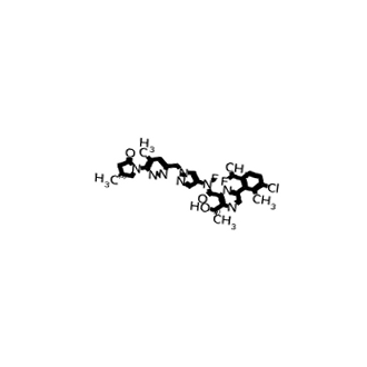 Cc1cc(Cn2cc(N(F)C(=O)c3nc(-c4c(C(C)F)ccc(Cl)c4C)cnc3[C@H](C)O)cn2)nnc1N1C[C@@H](C)CC1=O